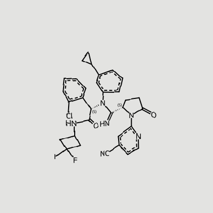 N#Cc1ccnc(N2C(=O)CC[C@H]2C(=N)N(c2cccc(C3CC3)c2)[C@H](C(=O)NC2CC(F)(I)C2)c2ccccc2Cl)c1